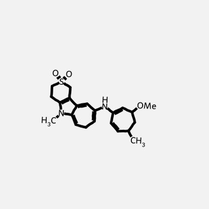 COC1C=C(NC2=CCC=c3c(c4c(n3C)CCS(=O)(=O)C4)=C2)C=CC(C)C1